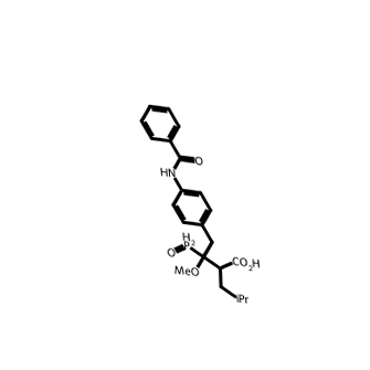 COC(Cc1ccc(NC(=O)c2ccccc2)cc1)([PH2]=O)C(CC(C)C)C(=O)O